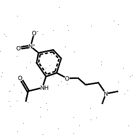 CC(=O)Nc1cc([N+](=O)[O-])ccc1OCCCN(C)C